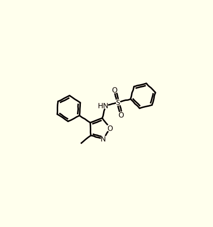 Cc1noc(NS(=O)(=O)c2ccccc2)c1-c1ccccc1